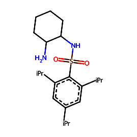 CC(C)c1cc(C(C)C)c(S(=O)(=O)NC2CCCCC2N)c(C(C)C)c1